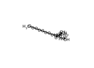 COCCOCCOCCOCCOCCOCCOCCOCCNC(=O)[C@H](CCCCNC(=O)O)NC(=O)OC(C)(C)C